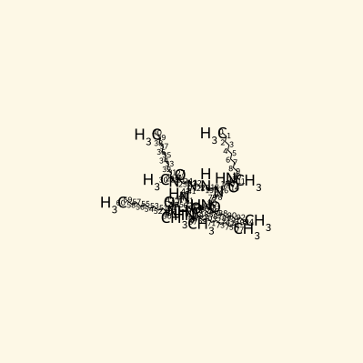 CCCCCCCCCCC(C)NC(=O)CCN(CCNCCN(CCC(=O)NC(C)CCCCCCCCCC)CCN(CCC(=O)NC(C)CCCCCCCCCC)CCC(=O)NC(C)CCCCCCCCCC)CCC(=O)NC(C)CCCCCCCCCC